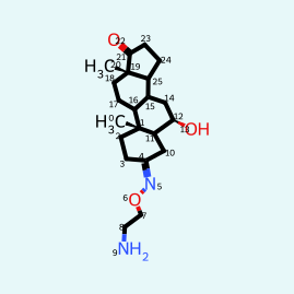 C[C@]12CCC(=NOCCN)CC1[C@H](O)CC1C2CC[C@]2(C)C(=O)CCC12